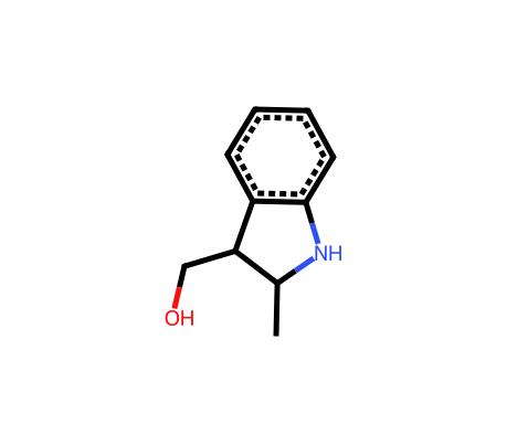 CC1Nc2ccccc2C1CO